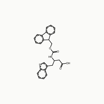 O=C(O)CC(Cc1csc2ccccc12)NC(=O)OCC1c2ccccc2-c2ccccc21